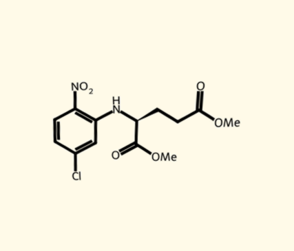 COC(=O)CC[C@H](Nc1cc(Cl)ccc1[N+](=O)[O-])C(=O)OC